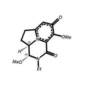 CCN1C(=O)c2c(OC)c(=O)cc3n2[C@H](CC3)[C@H]1OC